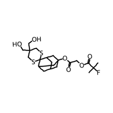 CC(C)(F)C(=O)OCC(=O)OC12CC3CC(C1)C1(SCC(CO)(CO)CS1)C(C3)C2